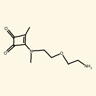 Cc1c(N(C)CCOCCN)c(=O)c1=O